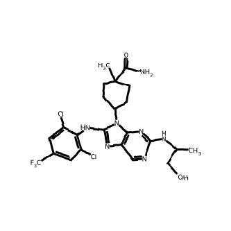 CC(CO)Nc1ncc2nc(Nc3c(Cl)cc(C(F)(F)F)cc3Cl)n(C3CCC(C)(C(N)=O)CC3)c2n1